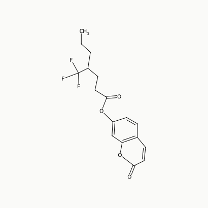 CCCC(CCC(=O)Oc1ccc2ccc(=O)oc2c1)C(F)(F)F